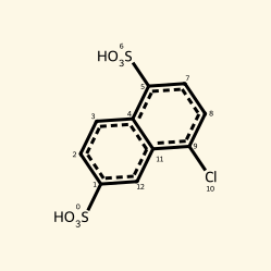 O=S(=O)(O)c1ccc2c(S(=O)(=O)O)ccc(Cl)c2c1